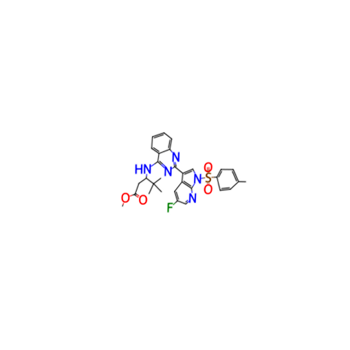 COC(=O)CC(Nc1nc(-c2cn(S(=O)(=O)c3ccc(C)cc3)c3ncc(F)cc23)nc2ccccc12)C(C)(C)C